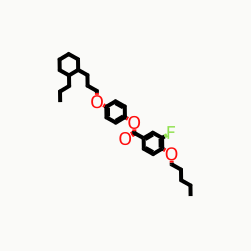 CCCCCOc1ccc(C(=O)Oc2ccc(OCCCC3CCCCC3CCC)cc2)cc1F